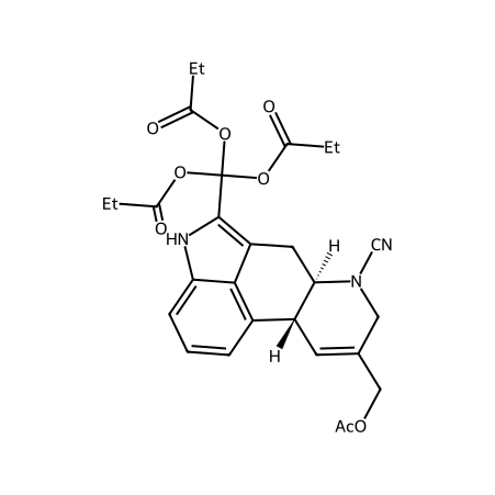 CCC(=O)OC(OC(=O)CC)(OC(=O)CC)c1[nH]c2cccc3c2c1C[C@@H]1[C@@H]3C=C(COC(C)=O)CN1C#N